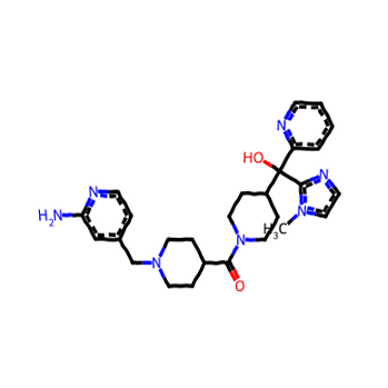 Cn1ccnc1C(O)(c1ccccn1)C1CCN(C(=O)C2CCN(Cc3ccnc(N)c3)CC2)CC1